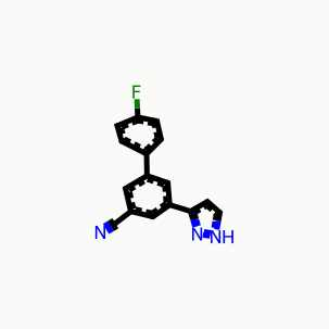 N#Cc1cc(-c2ccc(F)cc2)cc(-c2cc[nH]n2)c1